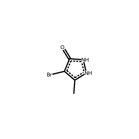 Cc1[nH][nH]c(=O)c1Br